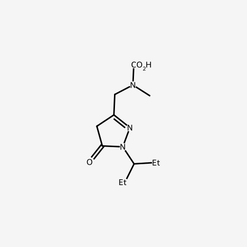 CCC(CC)N1N=C(CN(C)C(=O)O)CC1=O